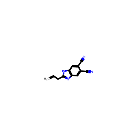 C=CCc1nc2cc(C#N)c(C#N)cc2[nH]1